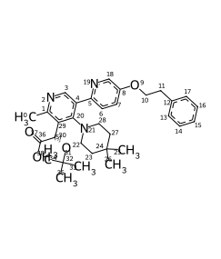 Cc1ncc(-c2ccc(OCCc3ccccc3)cn2)c(N2CCC(C)(C)CC2)c1[C@H](OC(C)(C)C)C(=O)O